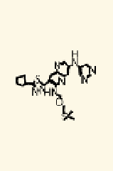 C[Si](C)(C)CCOCNc1nc2cc(Nc3cncnc3)cnc2cc1-c1nnc(C2CCCC2)s1